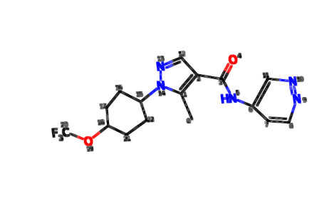 Cc1c(C(=O)Nc2ccnnc2)cnn1C1CCC(OC(F)(F)F)CC1